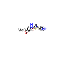 COC(=O)C1CCC(NC(=O)c2cnc(CCC3CCNCC3)s2)CC1